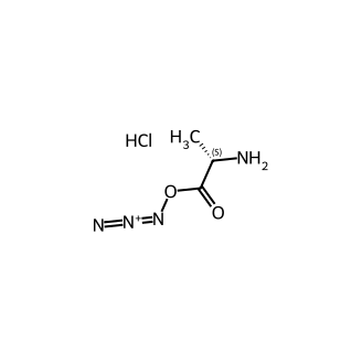 C[C@H](N)C(=O)ON=[N+]=[N-].Cl